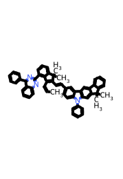 C/C=C\C1=C(/C=C/c2ccc3c(c2)c2cc4c(cc2n3-c2ccccc2)C(C)(C)c2ccccc2-4)C(C)(C)c2cccc(-c3nc(-c4ccccc4)c4ccccc4n3)c21